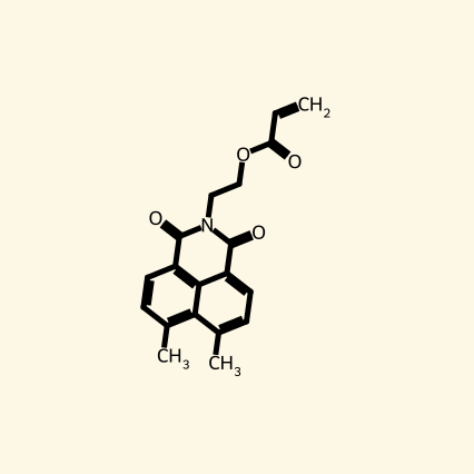 C=CC(=O)OCCN1C(=O)c2ccc(C)c3c(C)ccc(c23)C1=O